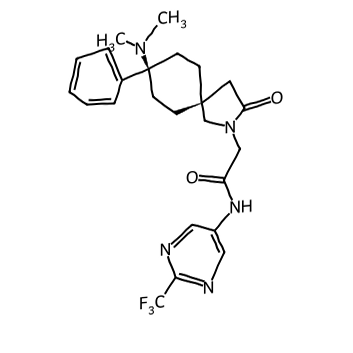 CN(C)[C@]1(c2ccccc2)CC[C@@]2(CC1)CC(=O)N(CC(=O)Nc1cnc(C(F)(F)F)nc1)C2